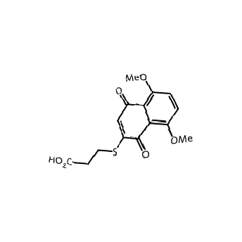 COc1ccc(OC)c2c1C(=O)C=C(SCCC(=O)O)C2=O